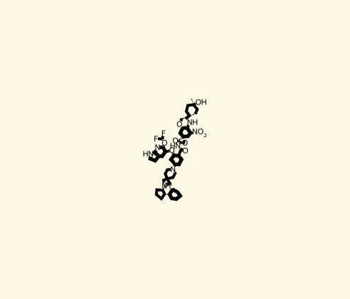 CC(C)c1ccccc1[C@@H]1CCC[C@@H]1N1CC2(CCN(c3ccc(C(=O)NS(=O)(=O)c4cc5c(c([N+](=O)[O-])c4)N[C@@H]([C@H]4CC[C@](C)(O)CC4)CO5)c(Oc4cc5cc[nH]c5nc4OC(F)F)c3)CC2)C1